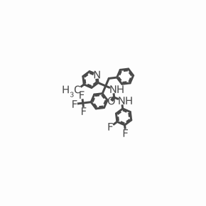 Cc1ccnc(C(Cc2ccccc2)(NC(=O)Nc2ccc(F)c(F)c2)c2cccc(C(F)(F)F)c2)c1